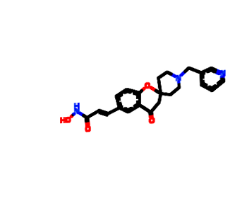 O=C(C=Cc1ccc2c(c1)C(=O)CC1(CCN(Cc3cccnc3)CC1)O2)NO